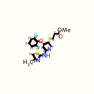 COC(=O)CCSc1cnc(Nc2nc(C)cs2)cc1Oc1c(F)cccc1F